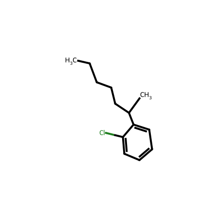 CCCCCC(C)c1ccccc1Cl